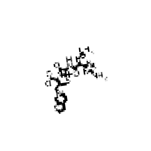 CON=C(C(=O)NC1C(=O)N2C(C(=O)[O-])=C(C[n+]3ccc4ccsc4c3)CS[C@@H]12)c1nsc(N)n1